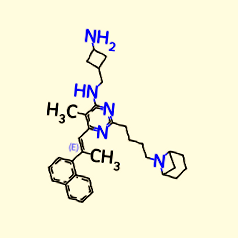 C/C(=C\c1nc(CCCCN2C3CCCC2C3)nc(NCC2CC(N)C2)c1C)c1cccc2ccccc12